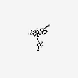 C[C@]12O[C@](CCOc3ccc(C#N)c(F)c3F)(CC1O)[C@H]1C(=O)N(c3ccc(C#N)c4ccccc34)C(=O)[C@H]12